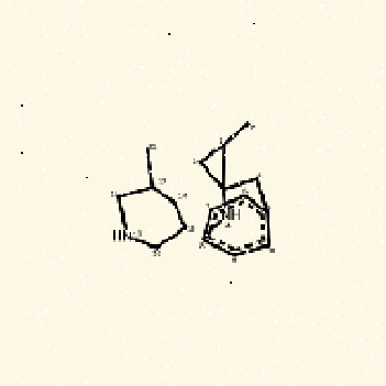 CC1CC12Cc1ccc(cc1)N2.CC1CCCNC1